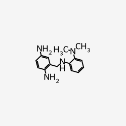 CN(C)c1ccccc1NCc1cc(N)ccc1N